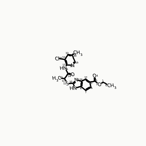 CCOC(=O)c1ccc2[nH]c(SC(C)C(=O)Nc3ncc(C)cc3Cl)nc2c1